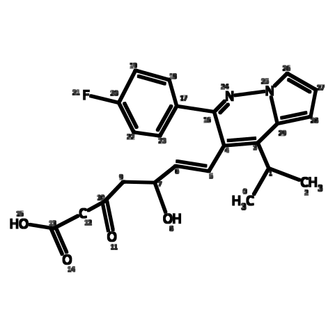 CC(C)c1c(C=CC(O)CC(=O)CC(=O)O)c(-c2ccc(F)cc2)nn2cccc12